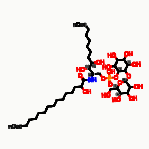 CCCCCCCCCCCCCCCCCCCCCCC(O)C(=O)N[C@@H](COP(=O)(O)O[C@H]1C(O)C(O)C(O)[C@@H](O)C1O[C@H]1O[C@H](CO)[C@@H](O)C(O)C1O)[C@H](O)[C@H](O)CCCCCCCCCCCCCCCC